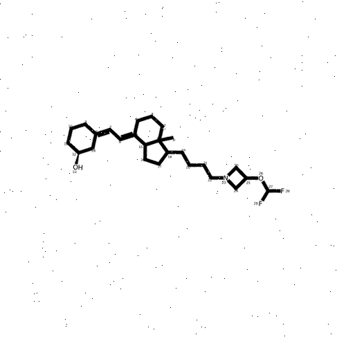 CC12CCC/C(=C\C=C3\CCC[C@H](O)C3)C1CCC2CCCCN1CC(OC(F)F)C1